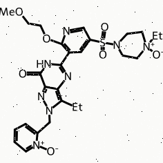 CCc1c2nc(-c3cc(S(=O)(=O)N4CC[N+]([O-])(CC)CC4)cnc3OCCOC)[nH]c(=O)c2nn1Cc1cccc[n+]1[O-]